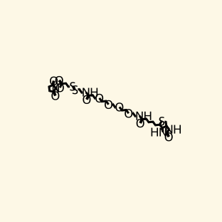 O=C(CCCCC1SCC2NC(=O)NC21)NCCOCCOCCOCCOCCC(=O)NCCSSCCC(=O)ON1C(=O)CCC1=O